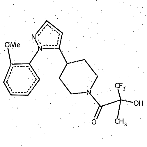 COc1ccccc1-n1nccc1C1CCN(C(=O)C(C)(O)C(F)(F)F)CC1